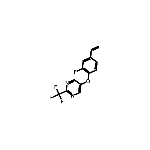 C=Cc1ccc(Oc2cnc(C(F)(F)F)nc2)c(F)c1